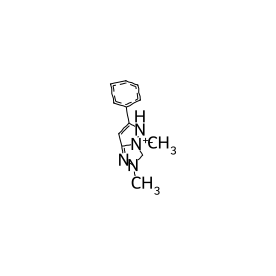 CN1C[N+]2(C)NC(c3ccccc3)=CC2=N1